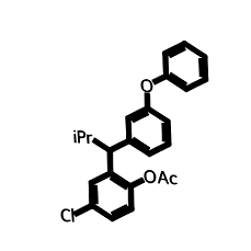 CC(=O)Oc1ccc(Cl)cc1C(c1cccc(Oc2ccccc2)c1)C(C)C